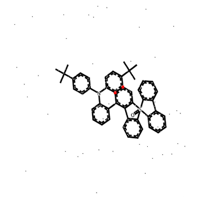 CC(C)(C)c1ccc(N(c2ccc(C(C)(C)C)cc2)c2ccccc2-c2cccc3c2-c2ccccc2S32(=O)c3ccccc3-c3ccccc32)cc1